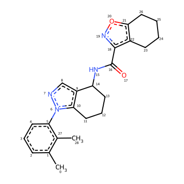 Cc1cccc(-n2ncc3c2CCCC3NC(=O)c2noc3c2CCCC3)c1C